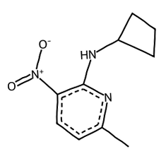 Cc1ccc([N+](=O)[O-])c(NC2CCC2)n1